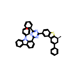 C[C@H]1CC(c2ccccc2)=Cc2c1sc1ccc(-c3nc(-c4ccccc4)nc(-c4cccc5c6ccccc6n(-c6ccccc6)c45)n3)cc21